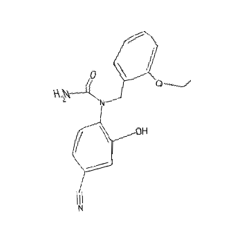 COc1ccccc1CN(C(N)=O)c1ccc(C#N)cc1O